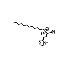 CCCCCCCCCCCCS(=O)(=O)C(C#N)=CC=C1SCCN1C